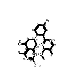 COc1nc(C2C=C(F)C=CC2[C@H]2CC(=O)c3c(C)nc(N)nc3C2)ncc1C